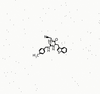 Cc1ccc(CNC(=O)NC(Cc2csc3ccccc23)C(=O)NCC#N)cc1